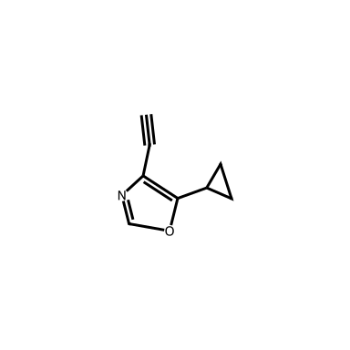 C#Cc1ncoc1C1CC1